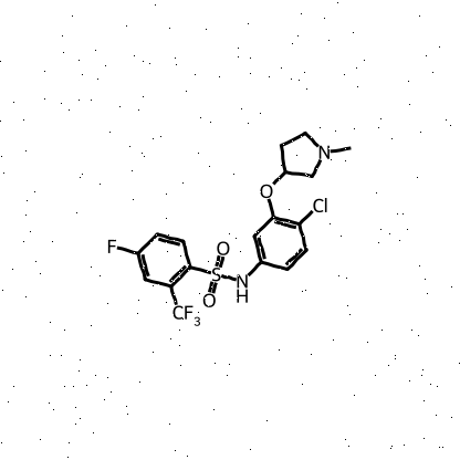 CN1CCC(Oc2cc(NS(=O)(=O)c3ccc(F)cc3C(F)(F)F)ccc2Cl)C1